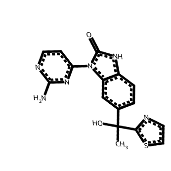 CC(O)(c1ccc2[nH]c(=O)n(-c3ccnc(N)n3)c2c1)c1nccs1